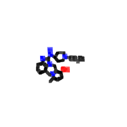 CCOC(=O)N1CCC(Nc2nc3cccc(C)c3n2Cc2nc(C)ccc2O)CC1